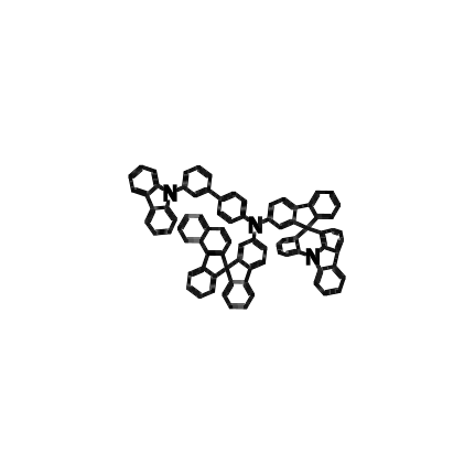 c1cc(-c2ccc(N(c3ccc4c(c3)C3(c5ccccc5-4)c4ccccc4-c4c3ccc3ccccc43)c3ccc4c(c3)C3(c5ccccc5-4)c4ccccc4-n4c5ccccc5c5cccc3c54)cc2)cc(-n2c3ccccc3c3ccccc32)c1